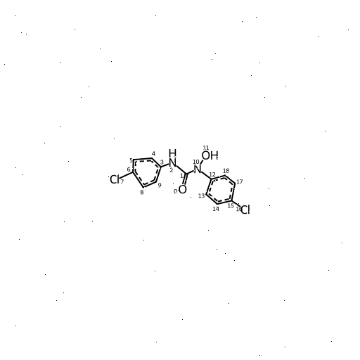 O=C(Nc1ccc(Cl)cc1)N(O)c1ccc(Cl)cc1